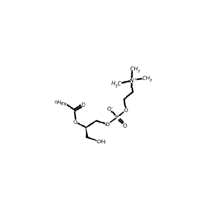 CCCCCCC(=O)O[C@H](CO)COP(=O)([O-])OCC[N+](C)(C)C